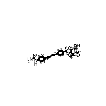 CC(=O)NC(C)(C(F)F)C(NC(=O)c1ccc(C#CC#Cc2ccc(NC(N)=O)cc2)cc1)C(=O)NO